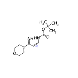 CC(C)(C)OC(=O)N/C=C\C(=N)C1=CCOCC1